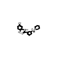 O=C(Nc1cc(Cl)ccc1O)c1cccc(S(=O)(=O)N2CCCCC2)c1